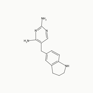 Nc1ncc(Cc2ccc3c(c2)CCCN3)c(N)n1